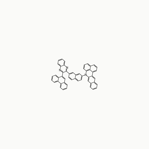 c1ccc2cc3c(cc2c1)-c1cccc2cccc(c12)N3c1ccc2ccc(-c3nc4ccccc4nc3-c3cc4ccccc4c4ccccc34)cc2c1